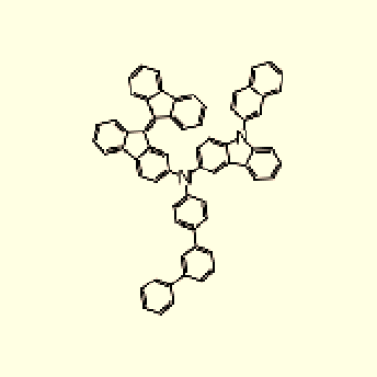 c1ccc(-c2cccc(-c3ccc(N(c4ccc5c(c4)C(=C4c6ccccc6-c6ccccc64)c4ccccc4-5)c4ccc5c(c4)c4ccccc4n5-c4ccc5ccccc5c4)cc3)c2)cc1